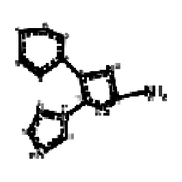 Nc1nc(-c2ccccc2)c(-n2cncn2)s1